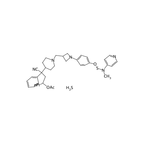 CCCC(CC(C#N)(c1ccccc1)C1CCN(CC2CN(c3ccc(OSN(C)c4ccncc4)cc3)C2)CC1)OC(C)=O.S